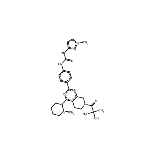 C[C@H]1COCCN1c1nc(-c2ccc(NC(=O)Nc3ccn(C)n3)cc2)nc2c1CCN(C(=O)C(C)(C)O)C2